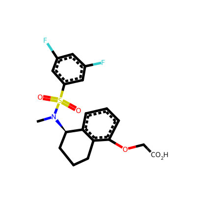 CN([C@@H]1CCCc2c(OCC(=O)O)cccc21)S(=O)(=O)c1cc(F)cc(F)c1